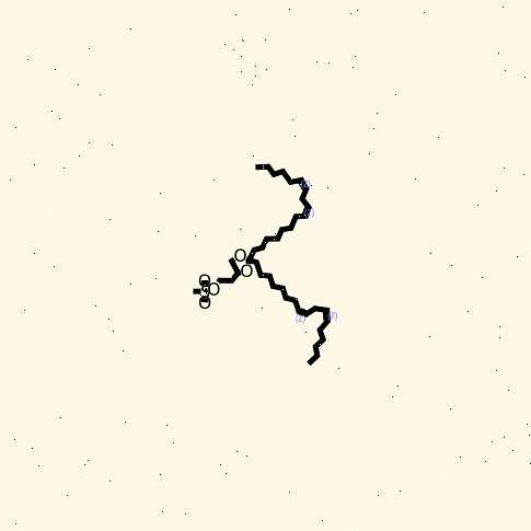 CCCCC/C=C\C/C=C\CCCCCCCC1(CCCCCCC/C=C\C/C=C\CCCCC)OCC(CCOS(C)(=O)=O)O1